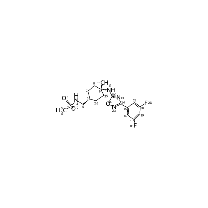 CS(=O)(=O)NC[C@H]1CC[C@](C)(Nc2nc(-c3cc(F)cc(F)c3)no2)CC1